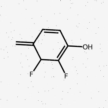 C=C1C=CC(O)=C(F)C1F